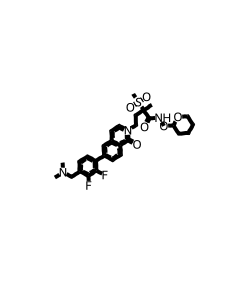 CN(C)Cc1ccc(-c2ccc3c(=O)n(CCC(C)(C(=O)NOC4CCCCO4)S(C)(=O)=O)ccc3c2)c(F)c1F